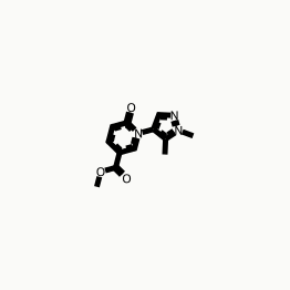 COC(=O)c1ccc(=O)n(-c2cnn(C)c2C)c1